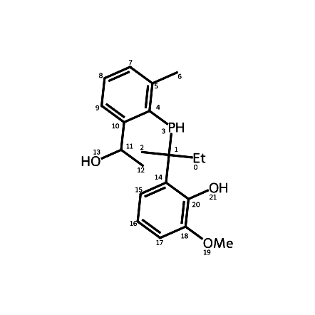 CCC(C)(Pc1c(C)cccc1C(C)O)c1cccc(OC)c1O